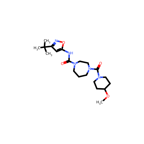 COC1CCN(C(=O)N2CCCN(C(=O)Nc3cc(C(C)(C)C)no3)CC2)CC1